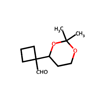 CC1(C)OCCC(C2(C=O)CCC2)O1